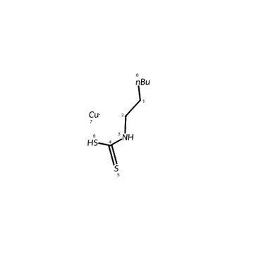 CCCCCCNC(=S)S.[Cu]